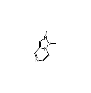 CN1C=C2C=NC=CN2N1C